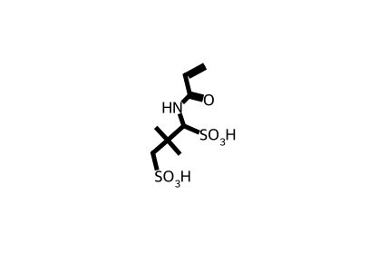 C=CC(=O)NC(C(C)(C)CS(=O)(=O)O)S(=O)(=O)O